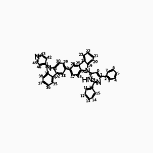 C1=C(c2ccccc2)N=C(c2ccccc2)NC1n1c2ccccc2c2cc(-c3ccc4c(c3)c3ccccc3n4-c3ccncc3)ccc21